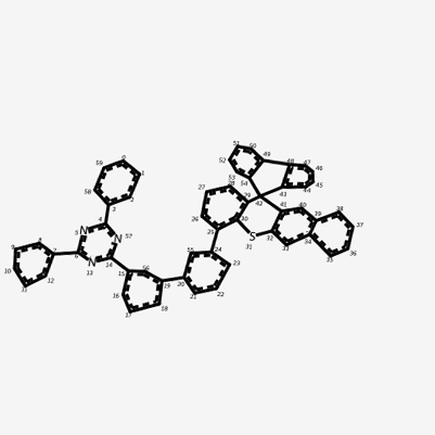 c1ccc(-c2nc(-c3ccccc3)nc(-c3cccc(-c4cccc(-c5cccc6c5Sc5cc7ccccc7cc5C65c6ccccc6-c6ccccc65)c4)c3)n2)cc1